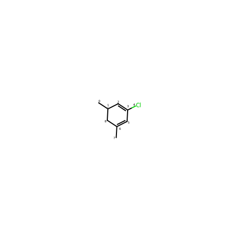 C[C]1C=C(Cl)C=C(C)C1